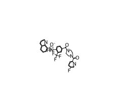 O=C(c1ccc(N[S+]([O-])c2cccc3cccnc23)c(C(F)(F)F)c1)N1CCN(C(=O)c2ccc(F)cn2)CC1